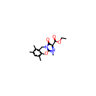 CCOC(=O)c1nn(C)c(=O)n(Cc2c(C)c(C)cc(C)c2C)c1=O